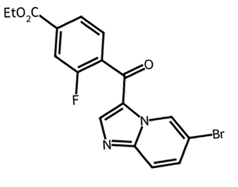 CCOC(=O)c1ccc(C(=O)c2cnc3ccc(Br)cn23)c(F)c1